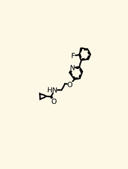 O=C(NCCOc1ccc(-c2ccccc2F)nc1)C1CC1